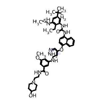 CCc1c(NSC)cc(C(C)(C)C)cc1NC(=O)Nc1ccc(OC(/C=N\N)=C/CNc2cc(OC)cc(C(=O)NCCN3CCC(O)CC3)c2)c2ccccc12